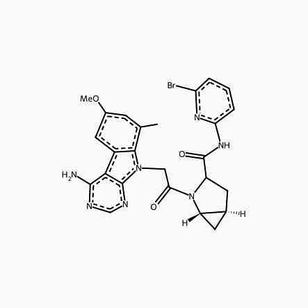 COc1cc(C)c2c(c1)c1c(N)ncnc1n2CC(=O)N1C(C(=O)Nc2cccc(Br)n2)C[C@H]2C[C@@H]21